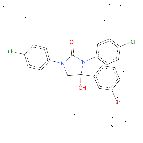 O=C1N(c2ccc(Cl)cc2)CC(O)(c2cccc(Br)c2)N1c1ccc(Cl)cc1